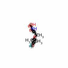 Cc1cc(OCC(C)CCc2ccc(C(=O)NCCC(=O)O)cc2)cc(C)c1-c1ccc(OC(F)(F)F)cc1